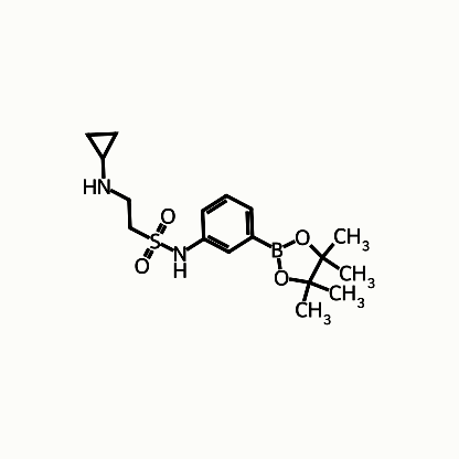 CC1(C)OB(c2cccc(NS(=O)(=O)CCNC3CC3)c2)OC1(C)C